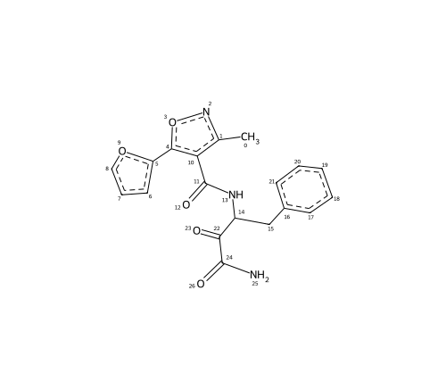 Cc1noc(-c2ccco2)c1C(=O)NC(Cc1ccccc1)C(=O)C(N)=O